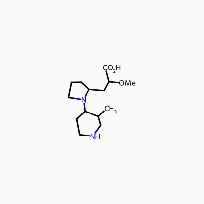 COC(CC1CCCN1C1CCNCC1C)C(=O)O